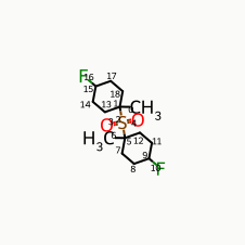 CC1(S(=O)(=O)C2(C)CCC(F)CC2)CCC(F)CC1